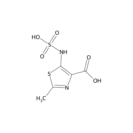 Cc1nc(C(=O)O)c(NS(=O)(=O)O)s1